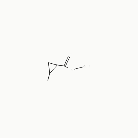 NNC(=O)C1CC1F